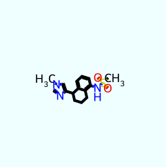 Cn1cnc(C2CCCc3c(NS(C)(=O)=O)cccc32)c1